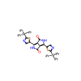 CC(C)[Si](c1ncc(C2=C3C(=O)NC(c4cnc([Si](C(C)C)(C(C)C)C(C)C)s4)=C3C(=O)N2)s1)(C(C)C)C(C)C